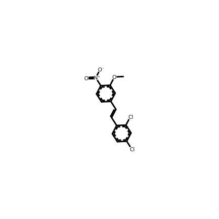 COc1cc(C=Cc2ccc(Cl)cc2Cl)ccc1[N+](=O)[O-]